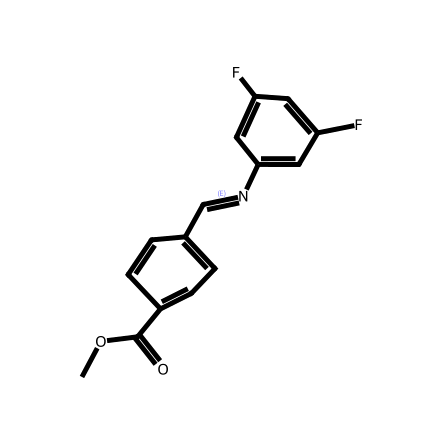 COC(=O)c1ccc(/C=N/c2cc(F)cc(F)c2)cc1